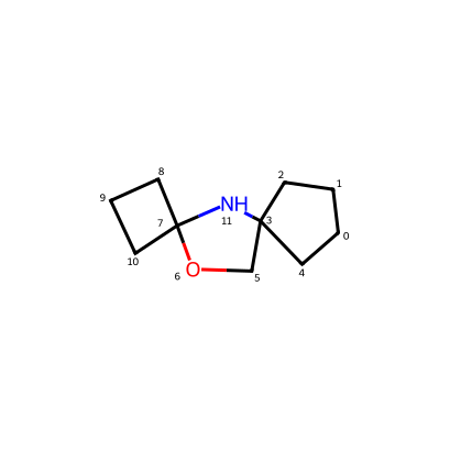 C1CCC2(C1)COC1(CCC1)N2